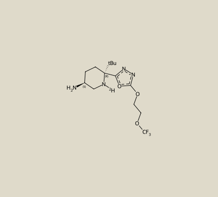 [2H]N1C[C@@H](N)CC[C@]1(c1nnc(OCCOC(F)(F)F)o1)C(C)(C)C